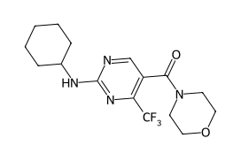 O=C(c1cnc(NC2CCCCC2)nc1C(F)(F)F)N1CCOCC1